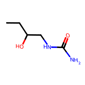 CCC(O)CNC(N)=O